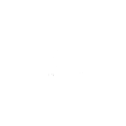 O=C(OCc1ccccc1)C1NCC1COCc1ccccc1